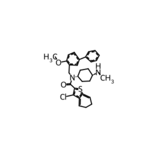 CN[C@H]1CC[C@H](N(Cc2cc(-c3ccccc3)ccc2OC)C(=O)c2sc3c(c2Cl)=CCCC=3)CC1